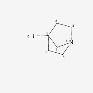 IC12CCN(CC1)C2